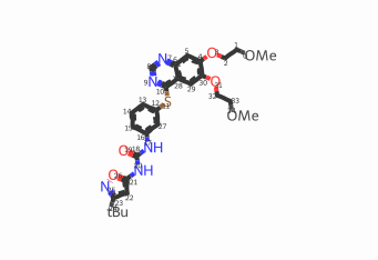 COCCOc1cc2ncnc(Sc3cccc(NC(=O)Nc4cc(C(C)(C)C)no4)c3)c2cc1OCCOC